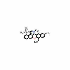 Cc1ccc2c(CC(C)(C)C)c3c(c(C)c2c1)-c1c2c(cc4cccc([Si](C)(C)C)c4c2cc[n+]1C)O3